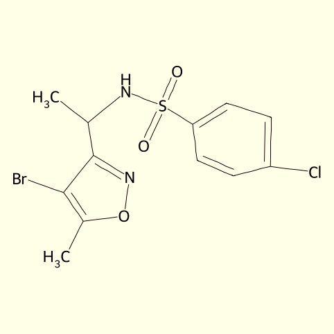 Cc1onc(C(C)NS(=O)(=O)c2ccc(Cl)cc2)c1Br